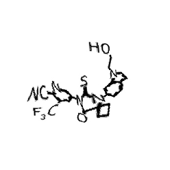 N#Cc1ncc(N2C(=O)C3(CCC3)N(c3ccc4ccn(CCO)c4c3)C2=S)cc1C(F)(F)F